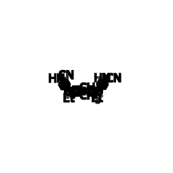 CCc1cc(C(C)(C)c2ccc(Oc3ccc(NC#N)cc3)c(CC)c2)ccc1Oc1ccc(NC#N)cc1